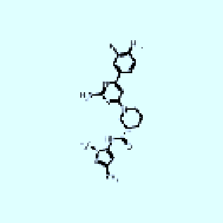 Cc1cc(NC(=O)[C@H]2CCCN(c3cc(-c4ccc(N)c(F)c4)nc(N)n3)C2)n(C)n1